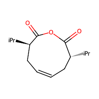 CC(C)[C@@H]1CC=CC[C@@H](C(C)C)C(=O)OC1=O